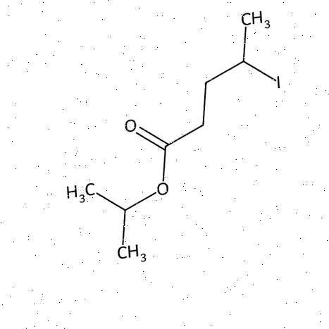 CC(I)CCC(=O)OC(C)C